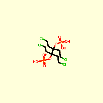 O=P(O)(O)OC(CCCl)(CCCl)C(CCCl)(CCCl)OP(=O)(O)O